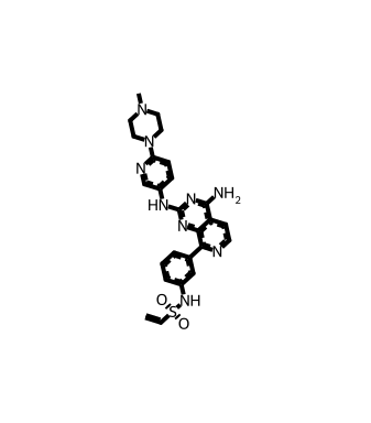 C=CS(=O)(=O)Nc1cccc(-c2nccc3c(N)nc(Nc4ccc(N5CCN(C)CC5)nc4)nc23)c1